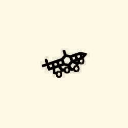 CC1C2C(C3COC(=O)C34C1C1C3CC3C14)C13C(=O)OCC14CC(C)(C)C4C23